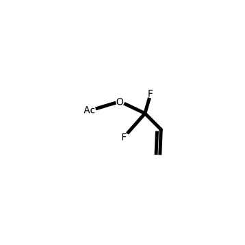 C=CC(F)(F)OC(C)=O